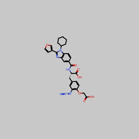 [N-]=[N+]=Nc1cc(C[C@H](NC(=O)c2ccc3c(c2)nc(-c2ccoc2)n3C2CCCCC2)C(=O)O)ccc1OCC(=O)O